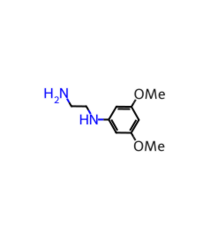 COc1cc(NCCN)cc(OC)c1